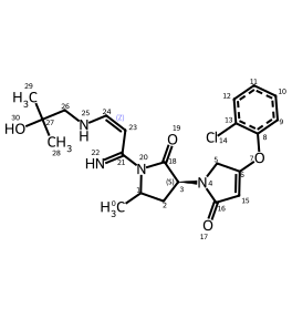 CC1C[C@H](N2CC(Oc3ccccc3Cl)=CC2=O)C(=O)N1C(=N)/C=C\NCC(C)(C)O